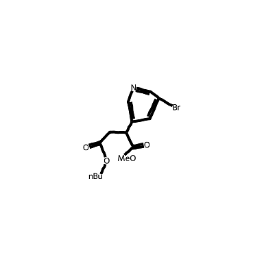 CCCCOC(=O)CC(C(=O)OC)c1cncc(Br)c1